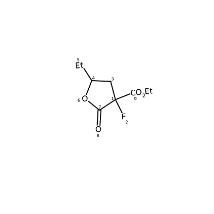 CCOC(=O)C1(F)CC(CC)OC1=O